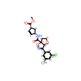 COC(=O)[C@@H]1C=C[C@H](NC(=O)C23CCOC2C(c2cc(Cl)cc(Cl)c2)=NO3)C1